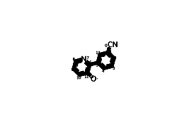 N#Cc1cccc(-c2ncccc2[O])c1